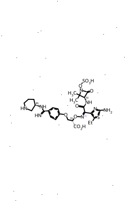 CCc1sc(N)nc1/C(=N/O[C@@H](COc1ccc(C(=N)N[C@@H]2CCCNC2)cc1)C(=O)O)C(=O)N[C@@H]1C(=O)N(OS(=O)(=O)O)C1(C)C